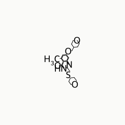 Cc1cc(OCC2CCOCC2)cc2nc(CSC3CCOCC3)[nH]c(=O)c12